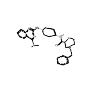 CN(C)c1nc(N[C@H]2CC[C@@H](NC(=O)C3CN(Cc4ccccc4)CCO3)CC2)nc2ccccc12